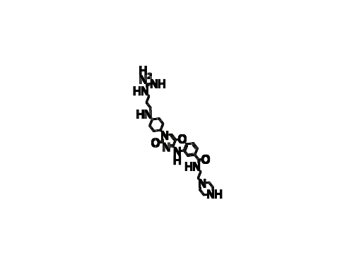 N=C(N)NCCCNC1CCC(n2cc3c(nc2=O)Nc2cc(C(=O)NCCN4CCNCC4)ccc2O3)CC1